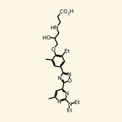 CCc1cc(-c2noc(-c3cc(C)nc(N(CC)CC)n3)n2)cc(C)c1OCC(O)CNCCC(=O)O